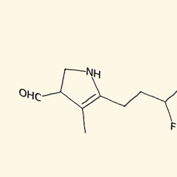 CC1=C(CCC(C)F)NCC1C=O